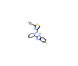 CCc1nc(CN2CCCCC2c2nc3cc(F)ccc3[nH]2)cs1